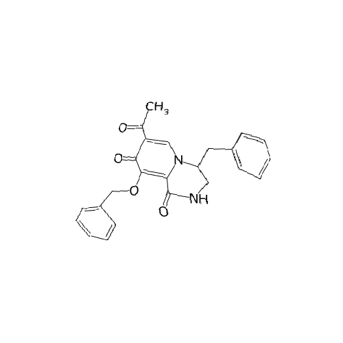 CC(=O)c1cn2c(c(OCc3ccccc3)c1=O)C(=O)NCC2Cc1ccccc1